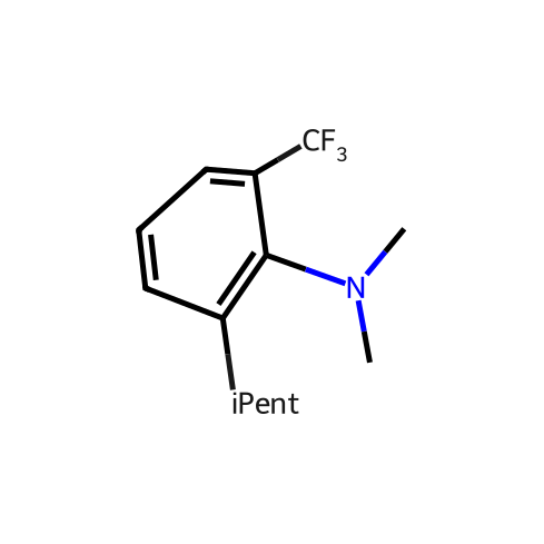 CCCC(C)c1cccc(C(F)(F)F)c1N(C)C